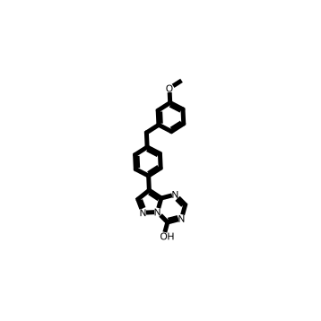 COc1cccc(Cc2ccc(-c3cnn4c(O)ncnc34)cc2)c1